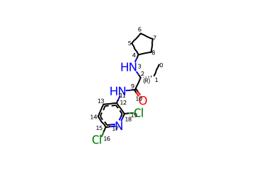 CC[C@@H](NC1CCCC1)C(=O)Nc1ccc(Cl)nc1Cl